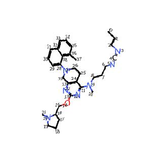 CCCN=C=NCCCN(C)c1nc(OCC2CCCN2C)nc2c1CCN(c1cccc3cccc(C)c13)C2